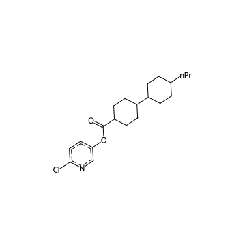 CCCC1CCC(C2CCC(C(=O)Oc3ccc(Cl)nc3)CC2)CC1